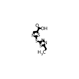 CCc1nnc(Sc2ncc(C(=O)O)s2)s1